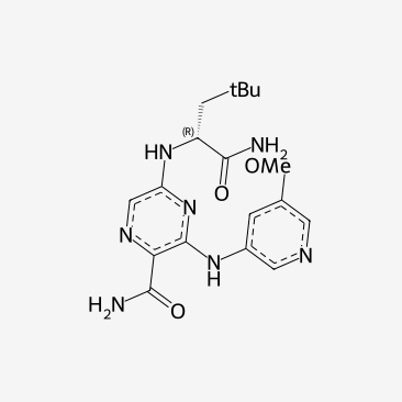 COc1cncc(Nc2nc(N[C@H](CC(C)(C)C)C(N)=O)cnc2C(N)=O)c1